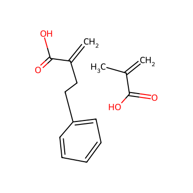 C=C(C)C(=O)O.C=C(CCc1ccccc1)C(=O)O